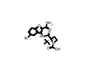 CC(C)(C)[C@]1(C(=O)Nc2c(C(N)=O)oc3ccc(Br)cc23)CCN1C(=O)O